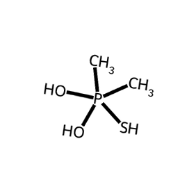 CP(C)(O)(O)S